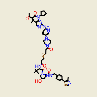 CC(=O)c1c(C)c2cnc(Nc3ccc(N4CCN(C(=O)CCSCCC(=O)NC(C(=O)N5C[C@H](O)C[C@H]5C(=O)NCc5ccc(-c6scnc6C)cc5)C(C)(C)C)CC4)cn3)nc2n(C2CCCC2)c1=O